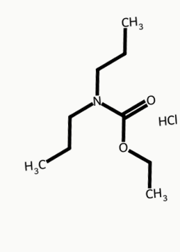 CCCN(CCC)C(=O)OCC.Cl